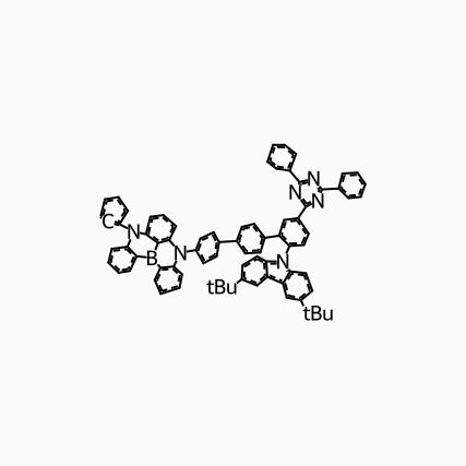 CC(C)(C)c1ccc2c(c1)c1cc(C(C)(C)C)ccc1n2-c1ccc(-c2nc(-c3ccccc3)nc(-c3ccccc3)n2)cc1-c1ccc(-c2ccc(N3c4ccccc4B4c5ccccc5N(c5ccccc5)c5cccc3c54)cc2)cc1